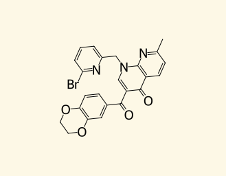 Cc1ccc2c(=O)c(C(=O)c3ccc4c(c3)OCCO4)cn(Cc3cccc(Br)n3)c2n1